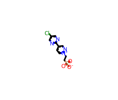 O=S(=O)([O-])CC[n+]1ccc(-c2ncc(Cl)cn2)cn1